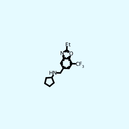 CCc1nc2cc(CNC3CCCC3)cc(C(F)(F)F)c2o1